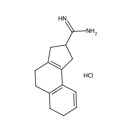 Cl.N=C(N)C1CC2=C(C1)C1=C(CCC=C1)CC2